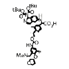 CNCc1cc(NC(=O)OC[C@H](C)c2ccc(C(Nc3ccc4c(N(C(=O)OC(C)(C)C)C(=O)OC(C)(C)C)nccc4c3)C(=O)O)cc2C)cc(F)c1O[C@@H]1CCOC1